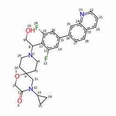 O=C1COC2(CCN(C(CO)c3c(F)cc(-c4ccc5cccnc5c4)cc3F)CC2)CN1C1CC1